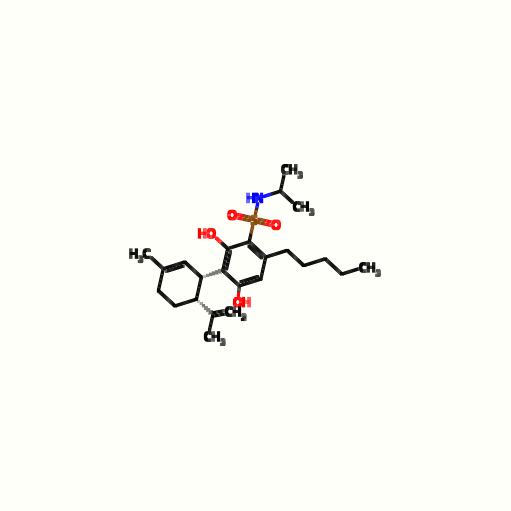 C=C(C)[C@@H]1CCC(C)=C[C@@H]1c1c(O)cc(CCCCC)c(S(=O)(=O)NC(C)C)c1O